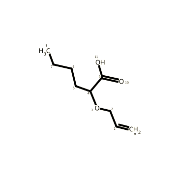 C=CCOC(CCCC)C(=O)O